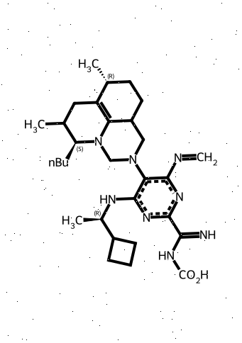 C=Nc1nc(C(=N)NC(=O)O)nc(N[C@H](C)C2CCC2)c1N1CC2CC[C@@H](C)C3=C2N(C1)[C@@H](CCCC)C(C)C3